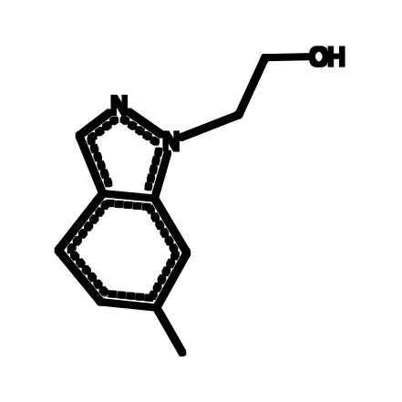 Cc1ccc2cnn(CCO)c2c1